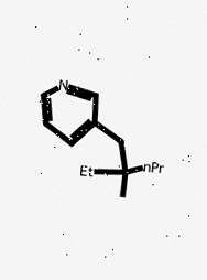 CCCC(C)(CC)Cc1cccnc1